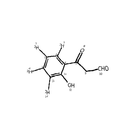 [2H]c1c([2H])c([2H])c(C(=O)CC=O)c(O)c1[2H]